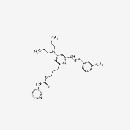 CCCN(CCC)c1cc(N/N=C/c2cccc(C)c2)nc(CCCOC(=S)Nc2cccnc2)n1